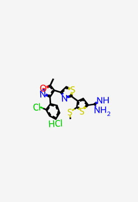 CSc1sc(C(=N)N)cc1-c1nc(-c2c(-c3ccccc3Cl)noc2C)cs1.Cl